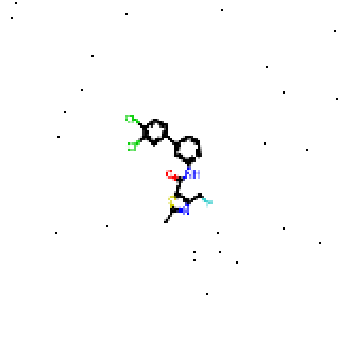 Cc1nc(CF)c(C(=O)Nc2cccc(-c3ccc(Cl)c(Cl)c3)c2)s1